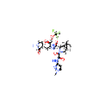 Cn1ccc(NC(=O)C(=O)N2C[C@H]3[C@@H]([C@H]2C(=O)NC(C[C@@H]2CCNC2=O)C(=O)COC(F)(F)F)C3(C)C)n1